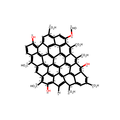 CC(=O)c1c2c3c4c5c(cc(C(=O)O)cc5c(O)c5c(C(=O)O)c6c(C(=O)O)c7c(OC=O)cc8c(C(=O)O)cc9c%10c(O)ccc%11c(C(=O)O)c%12cc%13c(C(=O)O)c(O)c1c1c%13c%13c%12c(c%11%10)c%10c9c8c7c7c6c(c54)c(c31)c%13c7%10)C2C(=O)O